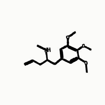 C=CCC(Cc1cc(OC)c(OC)c(OC)c1)NC